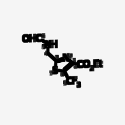 CCOC(=O)c1nc(CNC=O)sc1C(F)(F)F